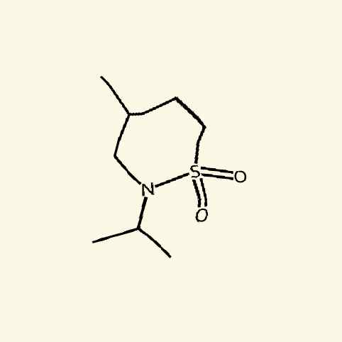 CC1CCS(=O)(=O)N(C(C)C)C1